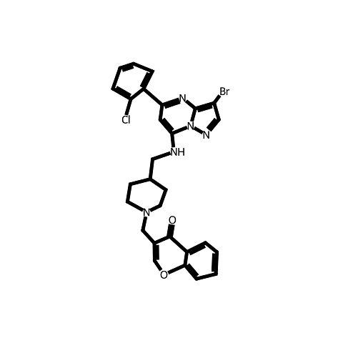 O=c1c(CN2CCC(CNc3cc(-c4ccccc4Cl)nc4c(Br)cnn34)CC2)coc2ccccc12